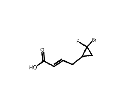 O=C(O)C=CCC1CC1(F)Br